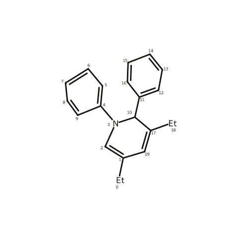 CCC1=CN(c2ccccc2)C(c2ccccc2)C(CC)=C1